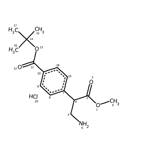 COC(=O)C(CN)c1ccc(C(=O)OC(C)(C)C)cc1.Cl